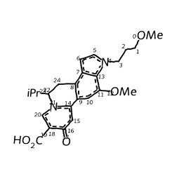 COCCCn1ccc2c3c(cc(OC)c21)-c1cc(=O)c(C(=O)O)cn1C(C(C)C)C3